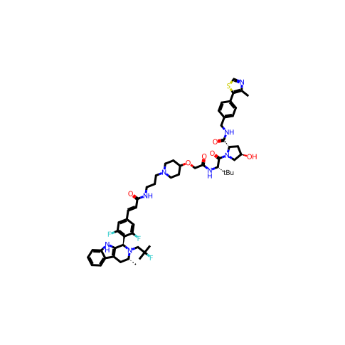 Cc1ncsc1-c1ccc(CNC(=O)[C@@H]2C[C@@H](O)CN2C(=O)[C@@H](NC(=O)COC2CCN(CCCNC(=O)/C=C/c3cc(F)c([C@@H]4c5[nH]c6ccccc6c5C[C@@H](C)N4CC(C)(C)F)c(F)c3)CC2)C(C)(C)C)cc1